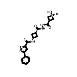 O=C(N[C@H]1C[C@H](C(=O)NNC(=O)C2CS(O)(O)C2)C1)c1cc(-c2ccccc2)no1